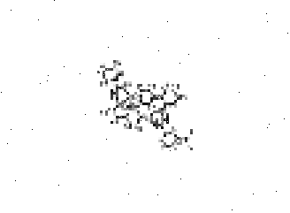 CC(C)c1cccc(-c2nc(-c3ccccc3)cc(-c3ccc(CC(C)c4nc(-c5ccccc5)cc(-c5ccccc5)n4)cc3)n2)c1